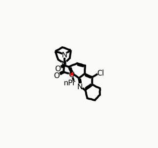 CCCOC(=O)N1CC2CC(C1)N2C(=O)c1ccc2c(Cl)c3c(nc2c1)CCCC3